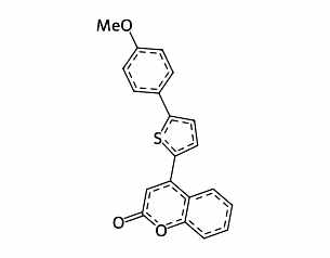 COc1ccc(-c2ccc(-c3cc(=O)oc4ccccc34)s2)cc1